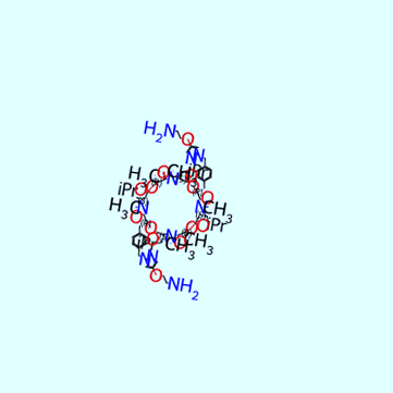 CC(C)C[C@H]1C(=O)O[C@H](Cc2ccc(Cn3cc(OCCN)cn3)cc2)C(=O)N(C)[C@@H](CC(C)C)C(=O)O[C@H](C)C(=O)N(C)[C@@H](CC(C)C)C(=O)O[C@H](Cc2ccc(Cn3cc(OCCN)cn3)cc2)C(=O)N(C)[C@@H](CC(C)C)C(=O)O[C@H](C)C(=O)N1C